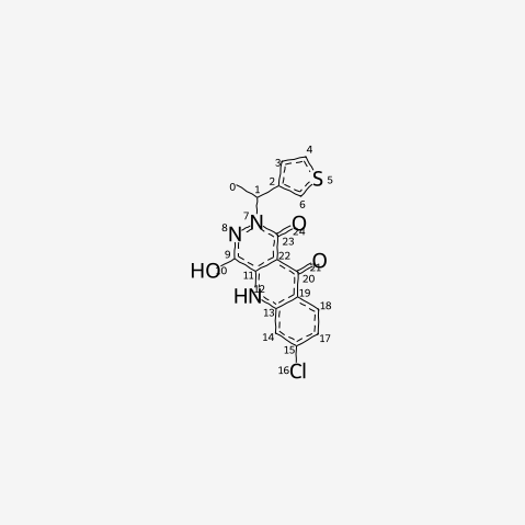 CC(c1ccsc1)n1nc(O)c2[nH]c3cc(Cl)ccc3c(=O)c2c1=O